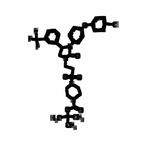 CC(C)(C)OC(=O)N1CCN(S(=O)(=O)CCN2CC(c3cccc(C(F)(F)F)c3)N(c3ccc(Oc4ccc(Cl)cc4)cc3)C2=O)CC1